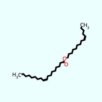 CCCC/C=C\CCCCCCCCOC(=O)CCCCCCC/C=C\CCCCCCCC